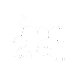 COc1ccc(-c2cnsc2-c2cc(OC)c(OC)c(OC)c2)cc1NC(=O)CCC(=O)O